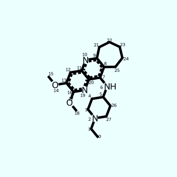 CCN1CCC(Nc2c3c(nc4cc(OC)c(OC)nc24)CCCCC3)CC1